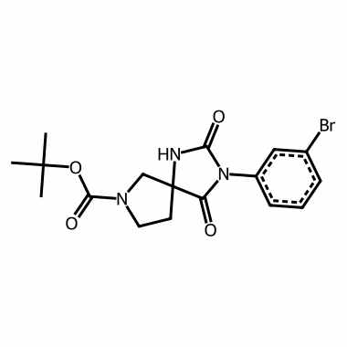 CC(C)(C)OC(=O)N1CCC2(C1)NC(=O)N(c1cccc(Br)c1)C2=O